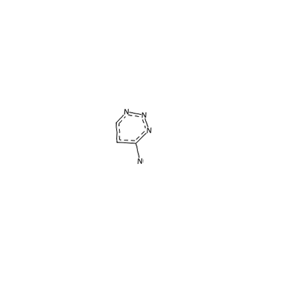 [N]c1ccnnn1